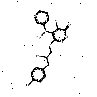 CN(c1cccnc1)c1c(OCC(O)Cc2ccc(Cl)cc2)n[nH]c(=O)c1Cl